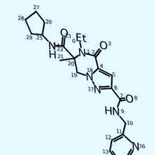 CCN1C(=O)c2cc(C(=O)NCc3ccccn3)nn2CC1(C)C(=O)NC1CCCC1